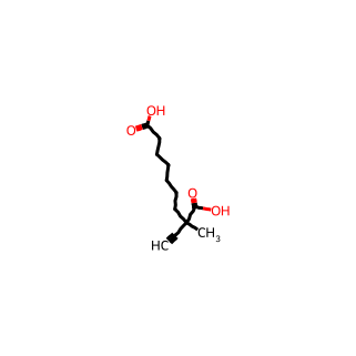 C#CC(C)(CCCCCCC(=O)O)C(=O)O